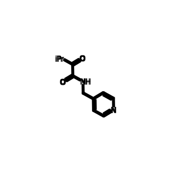 CC(C)C(=O)C(=O)NCc1ccncc1